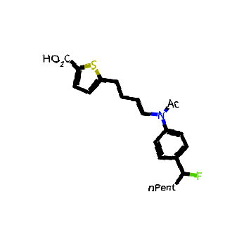 CCCCCC(F)c1ccc(N(CCCCc2ccc(C(=O)O)s2)C(C)=O)cc1